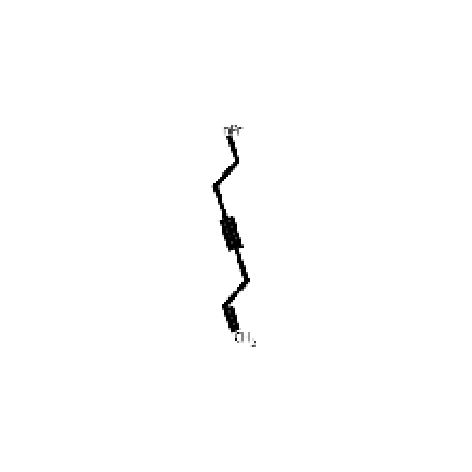 C=CCC#CCCCCC